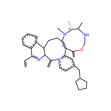 C=CC1=NC2C(=C)[n+]3ccc(CC4CCCC4)cc3/C3=C(\CCC2c2ccccc21)N(C)[C@H](C)C(C)NCOC3=C